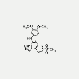 COc1ccc(Nc2nc3cc(S(C)(=O)=O)ccc3c3cn[nH]c23)cc1OC